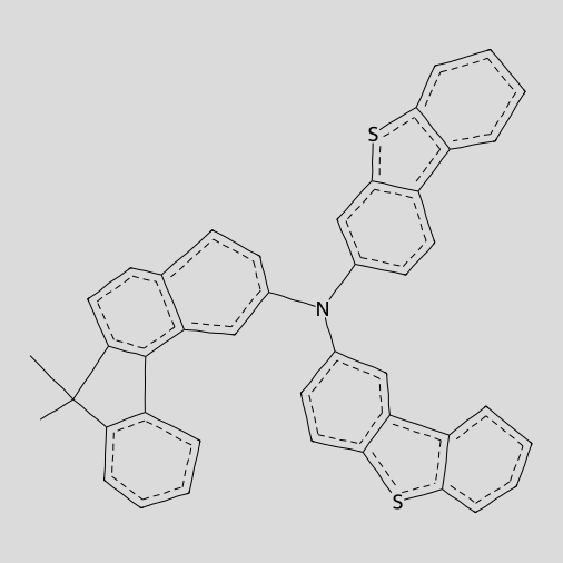 CC1(C)c2ccccc2-c2c1ccc1ccc(N(c3ccc4c(c3)sc3ccccc34)c3ccc4sc5ccccc5c4c3)cc21